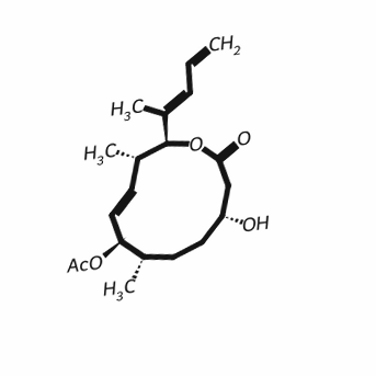 C=C/C=C(\C)[C@H]1OC(=O)C[C@H](O)CC[C@H](C)[C@@H](OC(C)=O)/C=C/[C@@H]1C